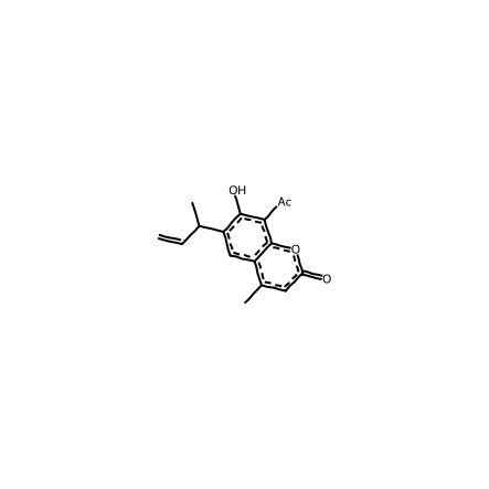 C=CC(C)c1cc2c(C)cc(=O)oc2c(C(C)=O)c1O